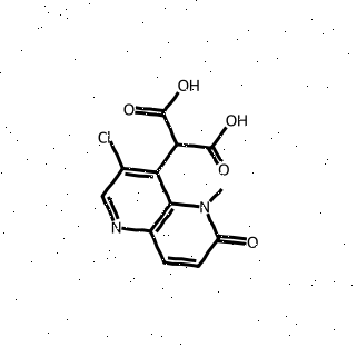 Cn1c(=O)ccc2ncc(Cl)c(C(C(=O)O)C(=O)O)c21